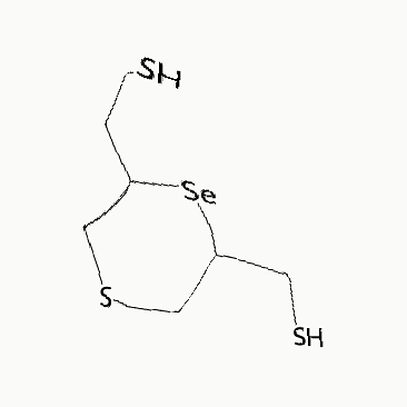 SCC1CSCC(CS)[Se]1